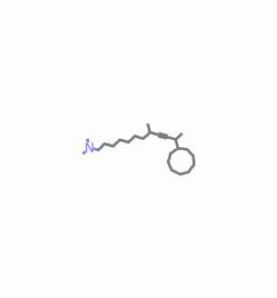 CC(C#CC(C)C1CCCCCCCC1)CCCCCCCN(C)C